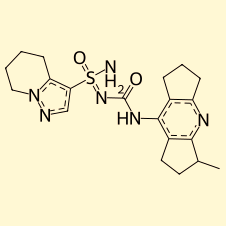 CC1CCc2c1nc1c(c2NC(=O)N=S(N)(=O)c2cnn3c2CCCC3)CCC1